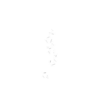 CNS(=O)(=O)c1cc(Nc2nc(C)cc(Nc3ccc(OCc4cccnc4)cc3)n2)ccc1C